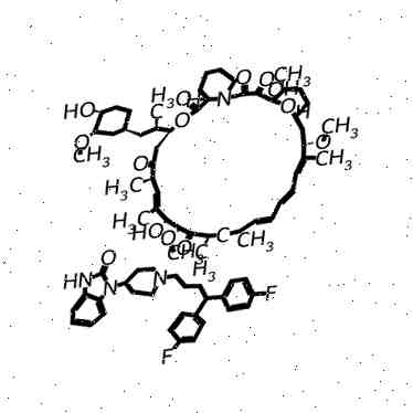 CO[C@H]1C[C@@H]2CC[C@@H](C)[C@@](O)(O2)C(=O)C(=O)N2CCCC[C@H]2C(=O)O[C@H]([C@H](C)C[C@@H]2CC[C@@H](O)[C@H](OC)C2)CC(=O)[C@H](C)/C=C(\C)[C@@H](O)[C@@H](OC)C(=O)[C@H](C)C[C@H](C)/C=C/C=C/C=C/1C.O=c1[nH]c2ccccc2n1C1CCN(CCCC(c2ccc(F)cc2)c2ccc(F)cc2)CC1